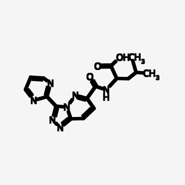 CC(C)CC(NC(=O)c1ccc2nnc(-c3ncccn3)n2n1)C(=O)O